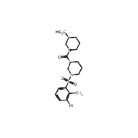 Cc1c(Cl)cccc1S(=O)(=O)N1CCC[C@H](C(=O)N2CCC[C@H](C(=O)O)C2)C1